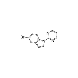 Brc1ccc2c(ccn2-c2ncccn2)c1